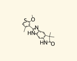 COc1scc(C)c1-c1nc2cc3c(cc2[nH]1)NC(=O)C3(C)C